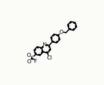 O=S(=O)(F)c1ccc2nc(-c3ccc(OCc4ccccc4)cc3)cc(Cl)c2c1